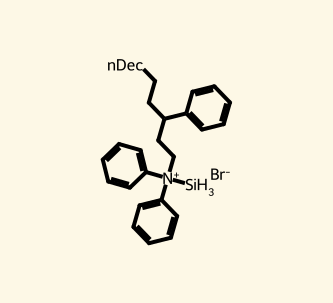 CCCCCCCCCCCCC(CC[N+]([SiH3])(c1ccccc1)c1ccccc1)c1ccccc1.[Br-]